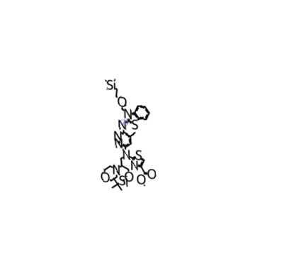 COC(=O)c1csc(N(CC(CO[Si](C)(C)C(C)(C)C)N2CCOCC2)c2cc(C)c(/N=c3\sc4ccccc4n3COCC[Si](C)(C)C)nn2)n1